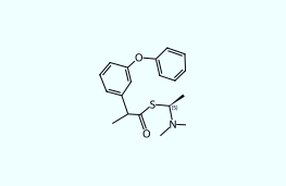 CC(C(=O)S[C@@H](C)N(C)C)c1cccc(Oc2ccccc2)c1